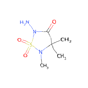 CN1C(C)(C)C(=O)N(N)S1(=O)=O